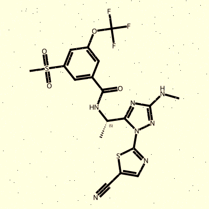 CNc1nc([C@H](C)NC(=O)c2cc(OC(F)(F)F)cc(S(C)(=O)=O)c2)n(-c2ncc(C#N)s2)n1